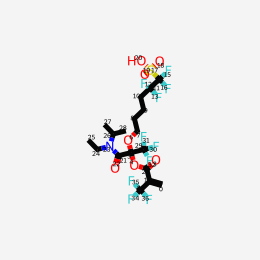 C=C(C(=O)OC(OCCCCC(F)(F)C(F)(F)S(=O)(=O)O)(C(=O)N(CC)C(C)C)C(F)(F)F)C(F)(F)F